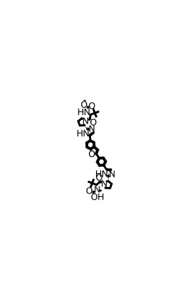 COC(=O)N[C@H](C(=O)N1CCC[C@H]1c1ncc(-c2ccc3oc(-c4ccc(-c5cnc([C@@H]6CCCN6C(=O)[C@@H](N(C)C(=O)O)C(C)(C)C)[nH]5)cc4)cc3c2)[nH]1)C(C)(C)C